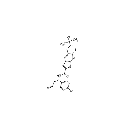 CC(C)(C)C1CCc2nc3sc(C(=O)N[C@H](CC=O)c4ccc(Br)cc4)nc3cc2C1